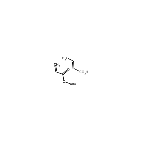 C=CC(=O)OCCCC.CC=CC(=O)O